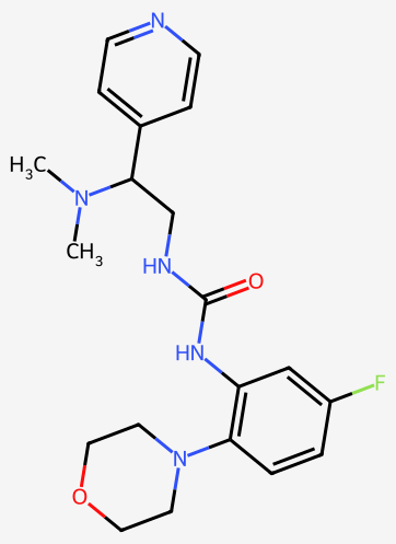 CN(C)C(CNC(=O)Nc1cc(F)ccc1N1CCOCC1)c1ccncc1